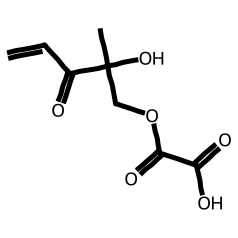 C=CC(=O)C(C)(O)COC(=O)C(=O)O